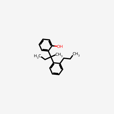 CCCc1ccccc1C(C)(CC)c1ccccc1O